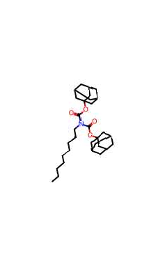 CCCCCCCCCN(C(=O)OC12CC3CC(CC(C3)C1)C2)C(=O)OC12CC3CC(CC(C3)C1)C2